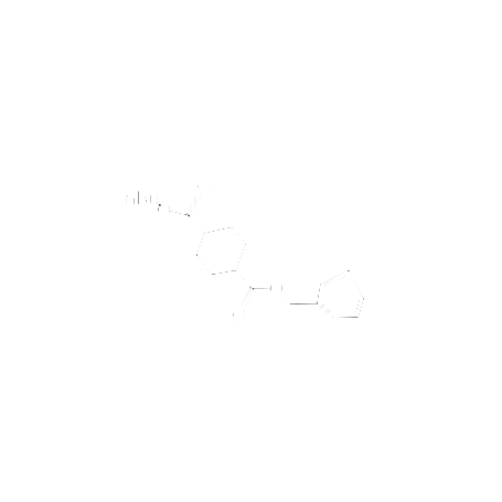 CCCCOC(=O)C1CCC(C(=O)OCc2ccccc2)CC1